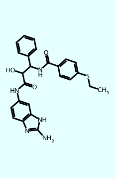 CCSc1ccc(C(=O)NC(c2ccccc2)C(O)C(=O)Nc2ccc3nc(N)[nH]c3c2)cc1